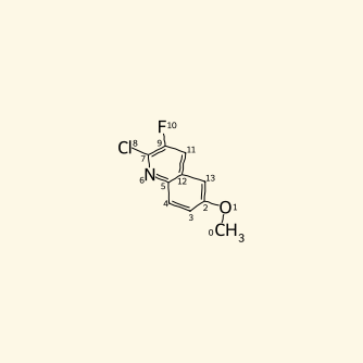 COc1ccc2nc(Cl)c(F)cc2c1